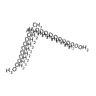 CC(C)=O.O.O.O.O.O.O.O.O.O.O.O.O.O.O.O.O.O.O.O.O